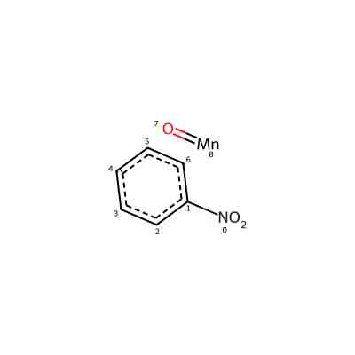 O=[N+]([O-])c1cc[c]cc1.[O]=[Mn]